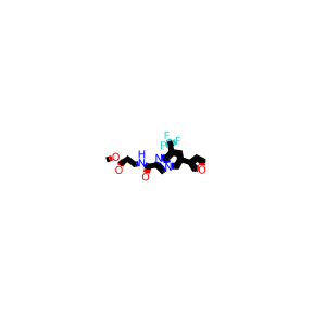 COC(=O)CCNC(=O)c1cn2cc(-c3ccoc3)cc(C(F)(F)F)c2n1